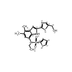 CCN(c1cc(C)c(C)c2cc(-c3ncc(CO)s3)[nH]c12)S(=O)(=O)c1cccs1